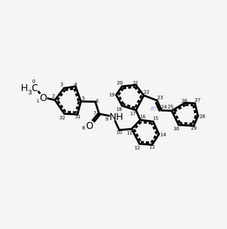 COc1ccc(CC(=O)NCc2ccccc2-c2ccccc2/C=C/c2ccccc2)cc1